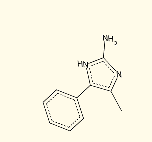 Cc1nc(N)[nH]c1-c1ccccc1